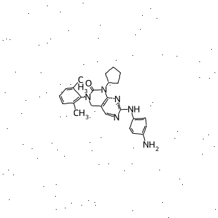 Cc1cccc(C)c1N1Cc2cnc(Nc3ccc(N)cc3)nc2N(C2CCCC2)C1=O